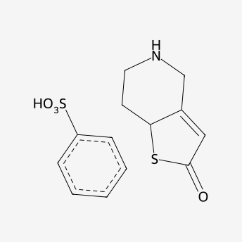 O=C1C=C2CNCCC2S1.O=S(=O)(O)c1ccccc1